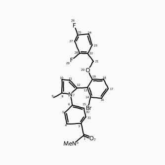 CNC(=O)c1ccc(-n2c(C)ccc2-c2c(Br)cccc2OCc2ccc(F)cc2F)cc1